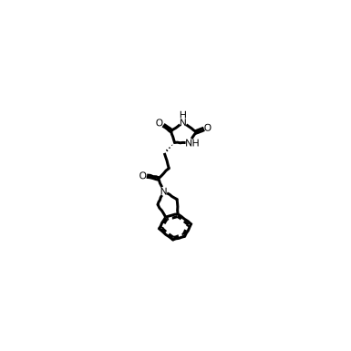 O=C1NC(=O)[C@@H](CCC(=O)N2Cc3ccccc3C2)N1